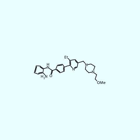 CCc1cc(CN2CCN(CCOC)CC2)cnc1-c1ccc(C(=O)Nc2ccccc2N)cc1